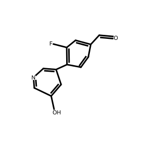 O=Cc1ccc(-c2cncc(O)c2)c(F)c1